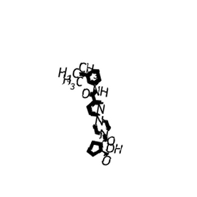 CC(C)(C)c1cccc(NC(=O)c2ccc(N3CCN(C(=O)[C@H]4CCC[C@@H]4C(=O)O)CC3)nc2)c1